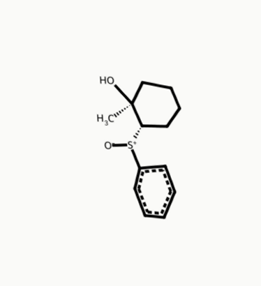 C[C@]1(O)CCCC[C@@H]1[S+]([O-])c1ccccc1